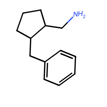 NCC1CCCC1Cc1ccccc1